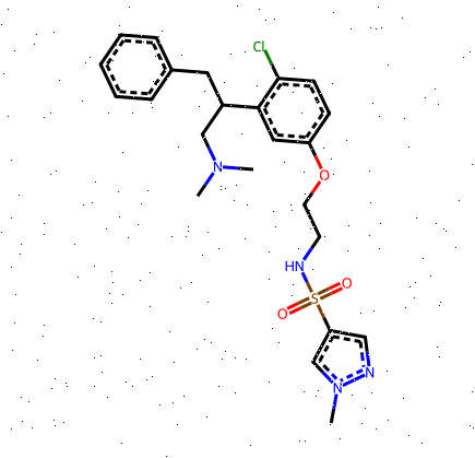 CN(C)CC(Cc1ccccc1)c1cc(OCCNS(=O)(=O)c2cnn(C)c2)ccc1Cl